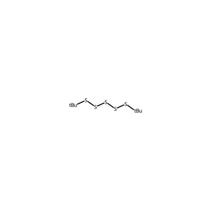 CC(C)(C)SSSSSC(C)(C)C